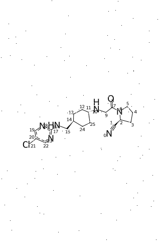 N#C[C@@H]1CCCN1C(=O)CN[C@H]1CC[C@H](CNc2ncc(Cl)cn2)CC1